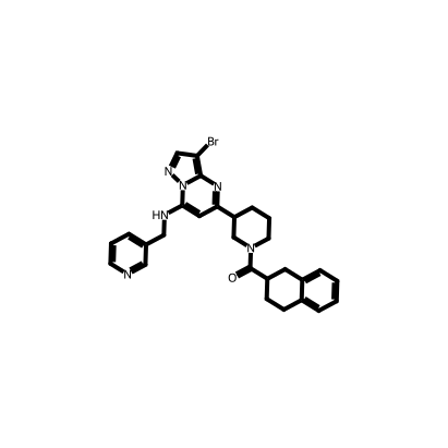 O=C(C1CCc2ccccc2C1)N1CCCC(c2cc(NCc3cccnc3)n3ncc(Br)c3n2)C1